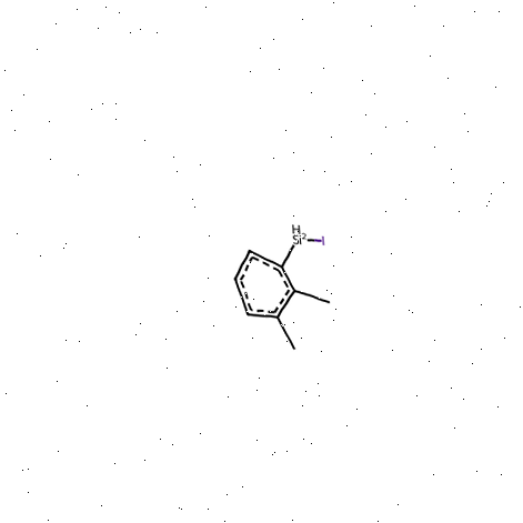 Cc1cccc([SiH2]I)c1C